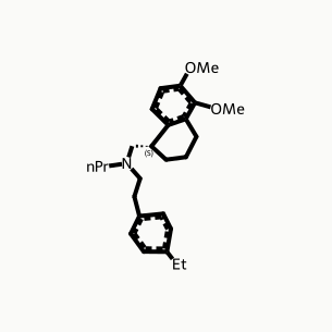 CCCN(CCc1ccc(CC)cc1)C[C@H]1CCCc2c1ccc(OC)c2OC